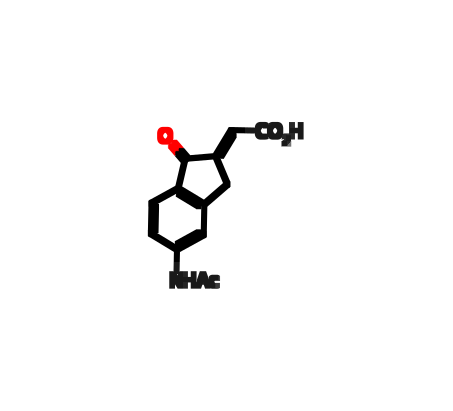 CC(=O)Nc1ccc2c(c1)CC(=CC(=O)O)C2=O